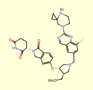 COC[C@@H]1CN(Cc2cc(F)c3nc(N4CCN(C(C)=O)C5(CC5)C4)ncc3c2)C[C@H]1Oc1ccc2c(c1)CN([C@H]1CCC(=O)NC1=O)C2=O